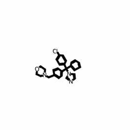 Clc1ccc(C(c2ccccc2)(c2ccc(CN3CCOCC3)cc2)n2ccnc2)cc1